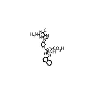 CC(NP(=O)(OC[C@@H]1C=C[C@H](n2cnc3c(Cl)nc(N)nc32)C1)Oc1cccc2ccccc12)C(=O)O